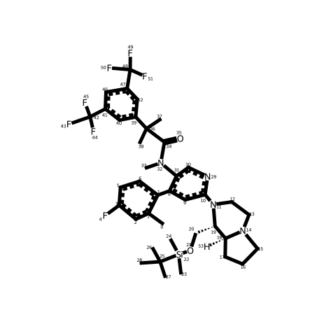 Cc1cc(F)ccc1-c1cc(N2CCN3CCC[C@H]3[C@@H]2CO[Si](C)(C)C(C)(C)C)ncc1N(C)C(=O)C(C)(C)c1cc(C(F)(F)F)cc(C(F)(F)F)c1